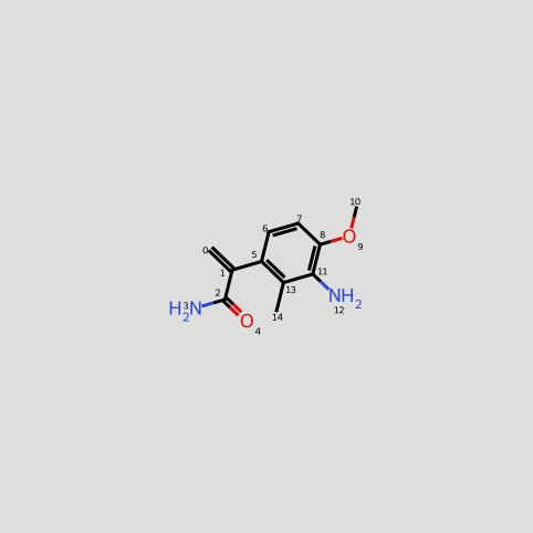 C=C(C(N)=O)c1ccc(OC)c(N)c1C